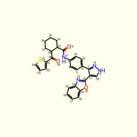 O=C(Nc1ccc(-c2n[nH]cc2-c2nc3ccccc3o2)cc1)C1CCCCC1C(=O)c1cccs1